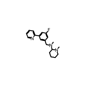 CN1CCCCC1N(C)Cc1cc(F)cc(-c2ccccn2)c1